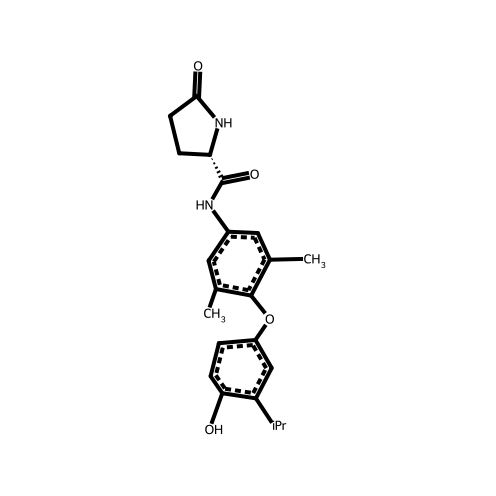 Cc1cc(NC(=O)[C@@H]2CCC(=O)N2)cc(C)c1Oc1ccc(O)c(C(C)C)c1